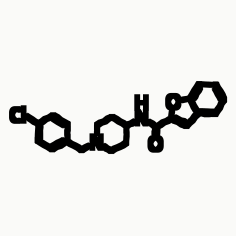 O=C(NC1CCN(Cc2ccc(Cl)cc2)CC1)c1cc2ccccc2o1